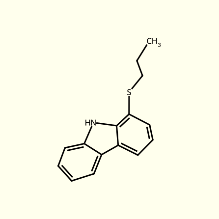 CCCSc1cccc2c1[nH]c1ccccc12